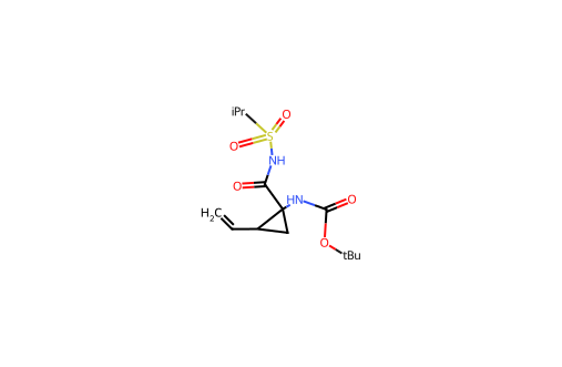 C=CC1CC1(NC(=O)OC(C)(C)C)C(=O)NS(=O)(=O)C(C)C